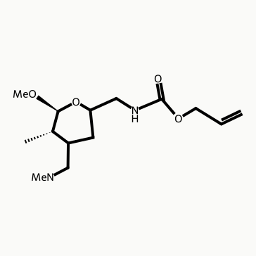 C=CCOC(=O)NCC1CC(CNC)[C@H](C)[C@@H](OC)O1